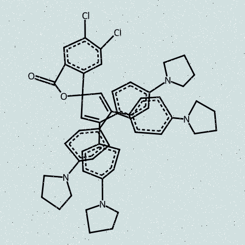 O=C1OC(C=C(c2ccc(N3CCCC3)cc2)c2ccc(N3CCCC3)cc2)(C=C(c2ccc(N3CCCC3)cc2)c2ccc(N3CCCC3)cc2)c2cc(Cl)c(Cl)cc21